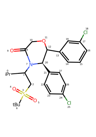 CC(C)C(CS(=O)(=O)C(C)(C)C)N1C(=O)COC(c2cccc(Cl)c2)[C@H]1c1ccc(Cl)cc1